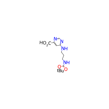 CC(C)(C)OC(=O)NCCCNc1cc(C(=O)O)ncn1